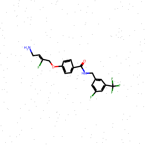 NCC=C(F)COc1ccc(C(=O)NCc2cc(F)cc(C(F)(F)F)c2)cc1